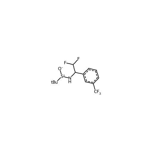 CC(C)(C)[S+]([O-])NC(c1cccc(C(F)(F)F)c1)C(F)F